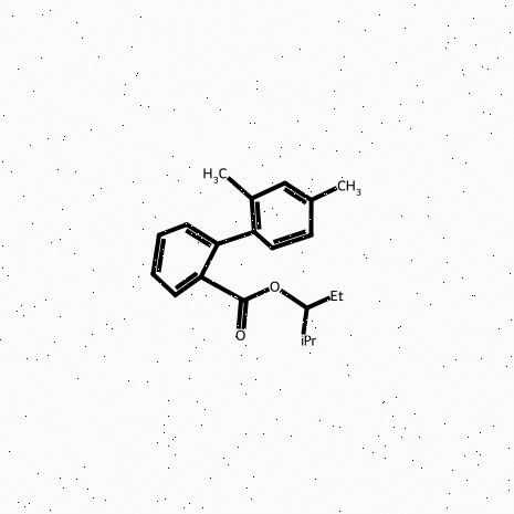 CCC(OC(=O)c1ccccc1-c1ccc(C)cc1C)C(C)C